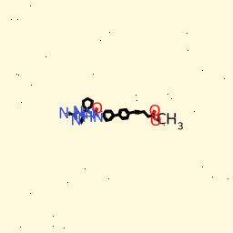 COC(=O)CCC#Cc1ccc(-c2ccc(NC(=O)NC3(c4ccnc(C#N)n4)CCCCC3)cc2)cc1